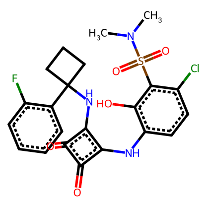 CN(C)S(=O)(=O)c1c(Cl)ccc(Nc2c(NC3(c4ccccc4F)CCC3)c(=O)c2=O)c1O